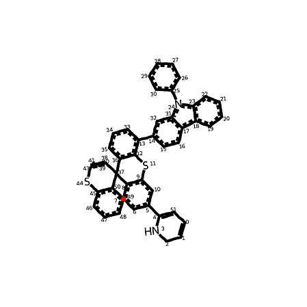 C1=CCNC(c2ccc3c(c2)Sc2c(-c4ccc5c6ccccc6n(-c6ccccc6)c5c4)cccc2C32c3ccccc3Sc3ccccc32)=C1